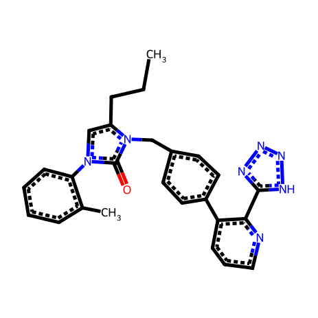 CCCc1cn(-c2ccccc2C)c(=O)n1Cc1ccc(-c2cccnc2-c2nnn[nH]2)cc1